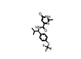 Cc1nc(C(=O)NC(c2ccc(SC(F)(F)F)cc2)C(C)C)cc(=O)[nH]1